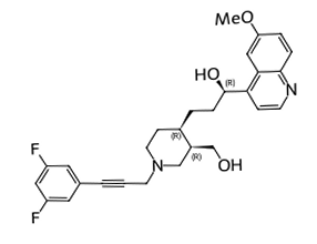 COc1ccc2nccc([C@H](O)CC[C@@H]3CCN(CC#Cc4cc(F)cc(F)c4)C[C@@H]3CO)c2c1